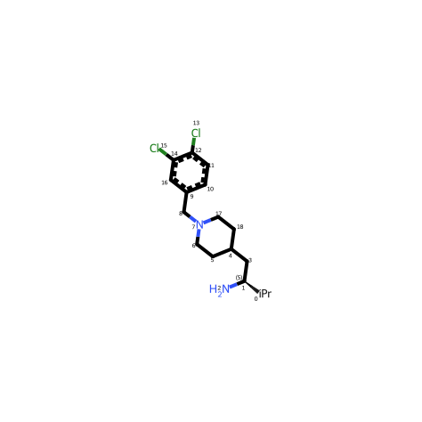 CC(C)[C@@H](N)CC1CCN(Cc2ccc(Cl)c(Cl)c2)CC1